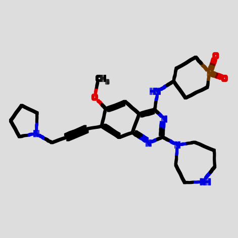 COc1cc2c(NC3CCS(=O)(=O)CC3)nc(N3CCCNCC3)nc2cc1C#CCN1CCCC1